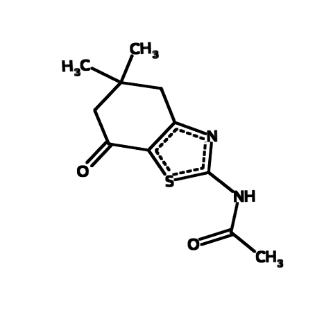 CC(=O)Nc1nc2c(s1)C(=O)CC(C)(C)C2